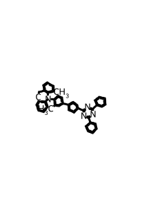 Cc1cc(-c2ccc(-c3nc(-c4ccccc4)nc(-c4ccccc4)n3)cc2)cc(C)c1N1c2ccccc2CCc2ccccc21